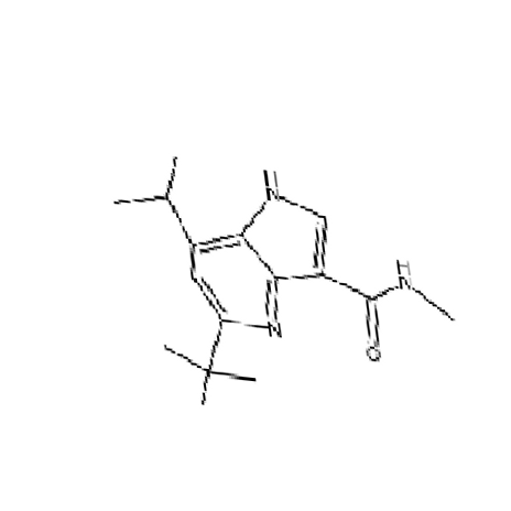 CNC(=O)c1c[nH]c2c(C(C)C)cc(C(C)(C)C)nc12